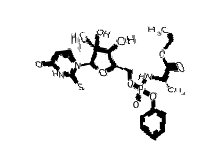 CCOC(=O)[C@H](C)NP(=O)(OC[C@H]1O[C@@H](n2ccc(=O)[nH]c2=S)[C@](C)(O)C1O)Oc1ccccc1